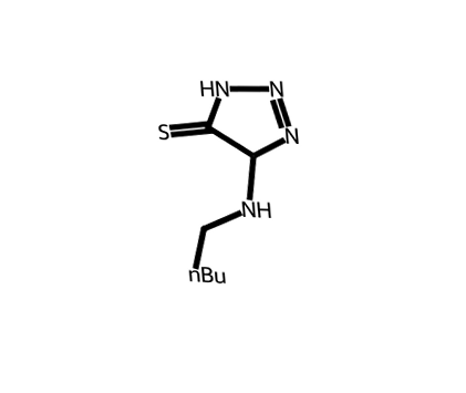 CCCCCNC1N=NNC1=S